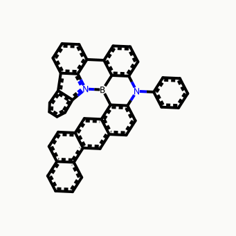 c1ccc(N2c3cccc4c3B(c3c2ccc2cc5c(ccc6ccccc65)cc32)n2c3ccccc3c3cccc-4c32)cc1